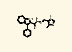 Cc1nc[nH]c1C=NNC(=O)c1[nH]c2ccccc2c1-c1ccccc1